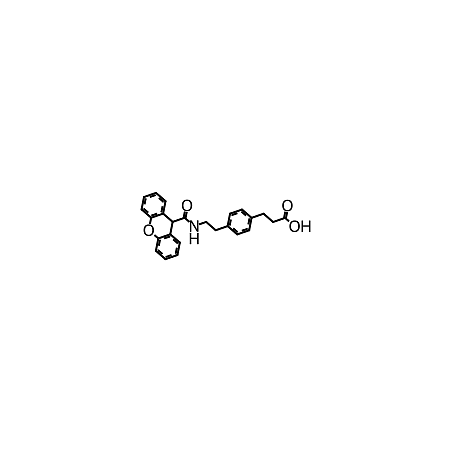 O=C(O)CCc1ccc(CCNC(=O)C2c3ccccc3Oc3ccccc32)cc1